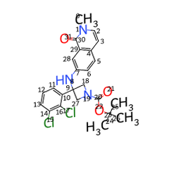 Cn1ccc2ccc(NC3(c4cccc(Cl)c4Cl)CN(C(=O)OC(C)(C)C)C3)cc2c1=O